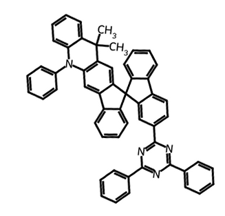 CC1(C)c2ccccc2N(c2ccccc2)c2cc3c(cc21)C1(c2ccccc2-c2ccc(-c4nc(-c5ccccc5)nc(-c5ccccc5)n4)cc21)c1ccccc1-3